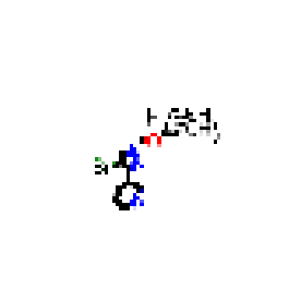 C[Si](C)(C)CCOCn1cc(Br)c(-c2cccnc2)n1